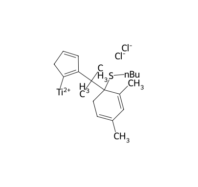 CCCCSC1(C(C)(C)C2=[C]([Ti+2])CC=C2)CC=C(C)C=C1C.[Cl-].[Cl-]